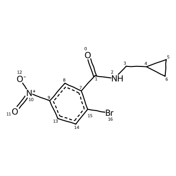 O=C(NCC1CC1)c1cc([N+](=O)[O-])ccc1Br